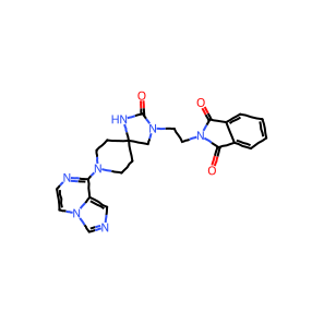 O=C1NC2(CCN(c3nccn4cncc34)CC2)CN1CCN1C(=O)c2ccccc2C1=O